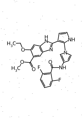 CCOc1cc2[nH]c(-c3cc[nH]c3-n3ccc(NC(=O)c4c(F)cccc4F)c3)nc2cc1C(=O)OC